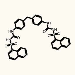 O=C(Nc1ccc(Cc2ccc(NC(=O)NS(=O)(=O)c3cccc4ccccc34)cc2)cc1)NS(=O)(=O)c1cccc2ccccc12